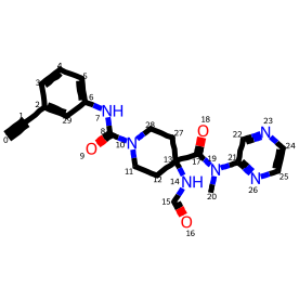 C#Cc1cccc(NC(=O)N2CCC(NC=O)(C(=O)N(C)c3cnccn3)CC2)c1